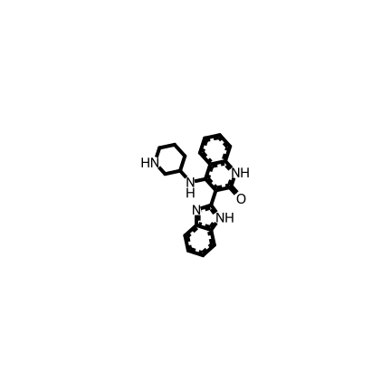 O=c1[nH]c2ccccc2c(NC2CCCNC2)c1-c1nc2ccccc2[nH]1